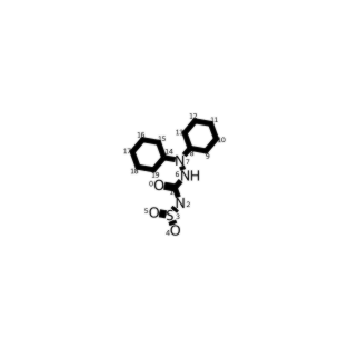 O=C(N=S(=O)=O)NN(C1CCCCC1)C1CCCCC1